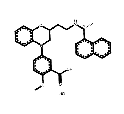 COc1ccc(N2CC(CCN[C@H](C)c3cccc4ccccc34)Oc3ccccc32)cc1C(=O)O.Cl